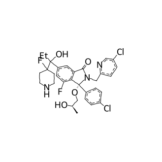 CCC(O)(c1cc(F)c2c(c1)C(=O)N(Cc1ccc(Cl)cn1)[C@@]2(OC[C@@H](C)O)c1ccc(Cl)cc1)C1(F)CCNCC1